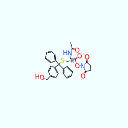 CC(=O)N[C@@H](CSC(c1ccccc1)(c1ccccc1)c1ccc(CO)cc1)C(=O)ON1C(=O)CCC1=O